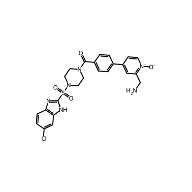 NCc1cc(-c2ccc(C(=O)N3CCN(S(=O)(=O)c4nc5ccc(Cl)cc5[nH]4)CC3)cc2)cc[n+]1[O-]